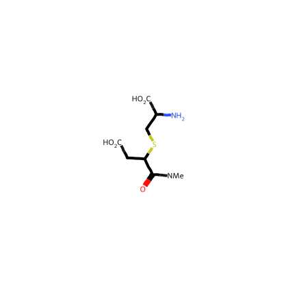 CNC(=O)C(CC(=O)O)SCC(N)C(=O)O